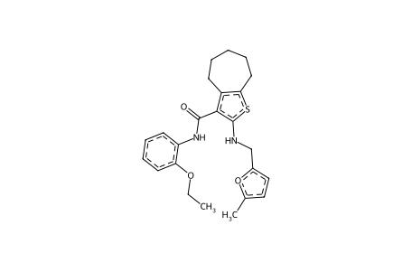 CCOc1ccccc1NC(=O)c1c(NCc2ccc(C)o2)sc2c1CCCCC2